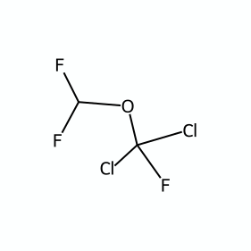 FC(F)OC(F)(Cl)Cl